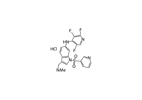 CNCc1cn(S(=O)(=O)c2cccnc2)c2cc(Nc3c(F)cnc(F)c3F)ccc12.Cl